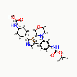 CC(C)OC(=O)Nc1ccc(-c2cnc([C@H]3CC[C@H](NC(=O)O)CC3)s2)c(N2CCOCC2)c1